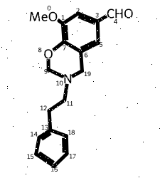 COc1cc(C=O)cc2c1OCN(CCc1ccccc1)C2